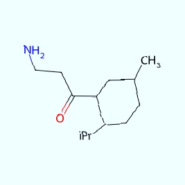 CC1CCC(C(C)C)C(C(=O)CCN)C1